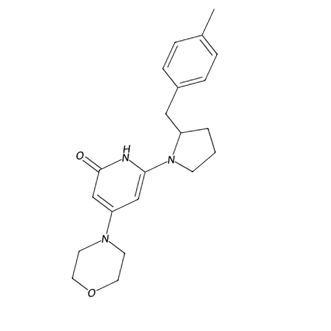 Cc1ccc(CC2CCCN2c2cc(N3CCOCC3)cc(=O)[nH]2)cc1